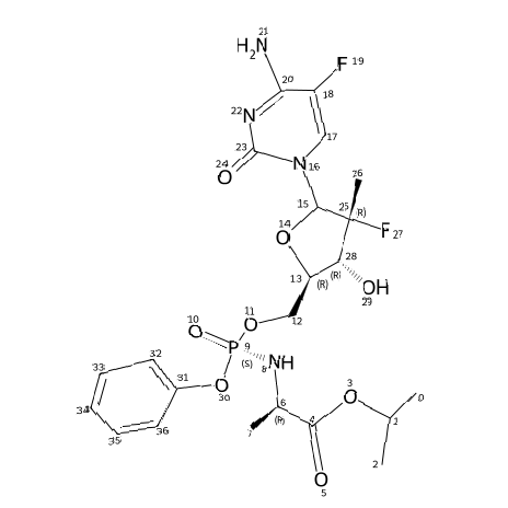 CC(C)OC(=O)[C@@H](C)N[P@](=O)(OC[C@H]1OC(n2cc(F)c(N)nc2=O)[C@](C)(F)[C@@H]1O)Oc1ccccc1